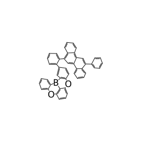 c1ccc(-c2cc3c4ccccc4c(-c4ccccc4-c4ccc5c(c4)B4c6ccccc6Oc6cccc(c64)O5)cc3c3ccccc23)cc1